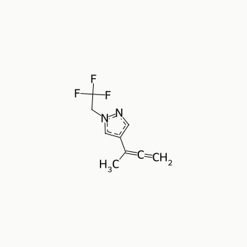 C=C=C(C)c1cnn(CC(F)(F)F)c1